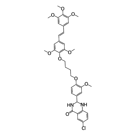 COc1cc(C2NC(=O)c3cc(Cl)ccc3N2)ccc1OCCCCOc1c(OC)cc(C=Cc2cc(OC)c(OC)c(OC)c2)cc1OC